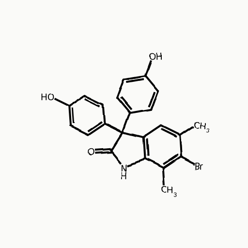 Cc1cc2c(c(C)c1Br)NC(=O)C2(c1ccc(O)cc1)c1ccc(O)cc1